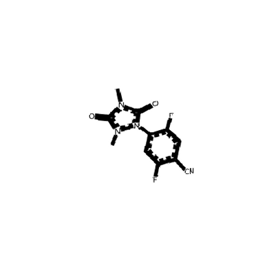 Cn1c(=O)n(C)n(-c2cc(F)c(C#N)cc2F)c1=O